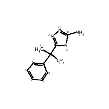 CC(C)(c1ccccc1)c1nnc(N)s1